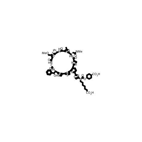 CNC(=O)C[C@@H]1NC(=O)c2csc(n2)-c2ccc(-c3nc(N(CCCCCCC(=O)O)C(=O)O[C@H]4CC[C@H](C(=O)O)CC4)cs3)nc2-c2csc(n2)-c2csc(n2)[C@H]([C@@H](O)c2ccccc2)NC(=O)CNC(=O)c2nc(sc2COC)[C@H](C(C)C)NC(=O)c2nc1sc2C